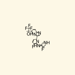 CC(O)(c1ccc2ncc(-c3ccc(F)c(N[C@H]4CNC[C@@H]4F)n3)n2c1)C(F)(F)F